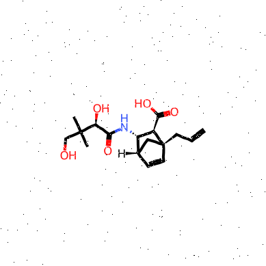 C=CC[C@@]12C=C[C@@H](C1)[C@H](NC(=O)[C@H](O)C(C)(C)CO)[C@H]2C(=O)O